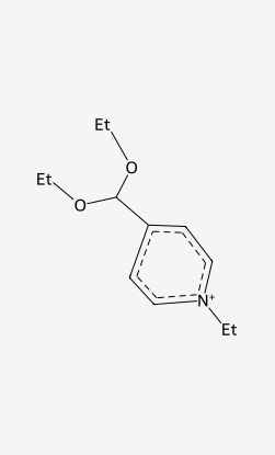 CCOC(OCC)c1cc[n+](CC)cc1